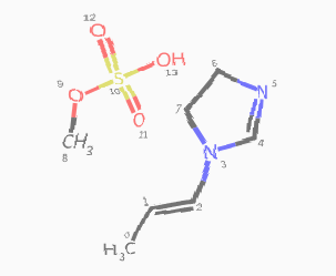 CC=CN1C=NCC1.COS(=O)(=O)O